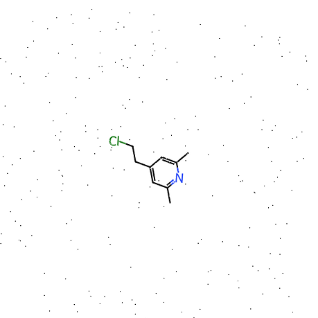 Cc1cc(CCCl)cc(C)n1